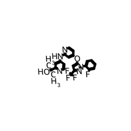 CC(C)(O)c1cc(Nc2cc(Oc3cc(C(F)(F)F)nn3-c3ccccc3F)ccn2)ccn1